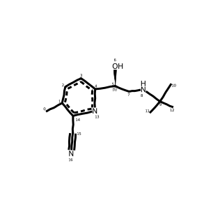 Cc1ccc([C@@H](O)CNC(C)(C)C)nc1C#N